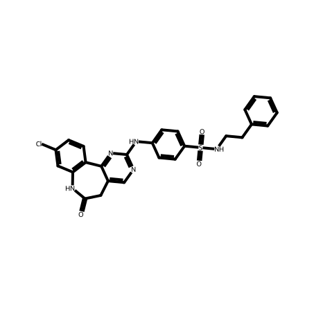 O=C1Cc2cnc(Nc3ccc(S(=O)(=O)NCCc4ccccc4)cc3)nc2-c2ccc(Cl)cc2N1